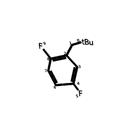 CC(C)(C)Cc1cc(F)ccc1F